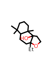 CCC12CCC3C(C)(C)CCCC3(C)C1(O)CCO2